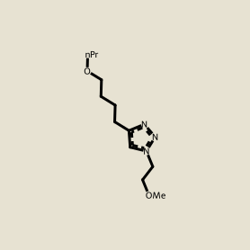 CCCOCCCCc1cn(CCOC)nn1